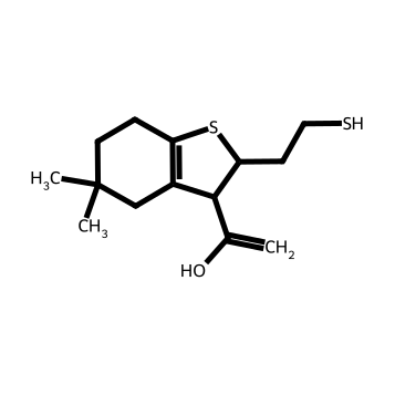 C=C(O)C1C2=C(CCC(C)(C)C2)SC1CCS